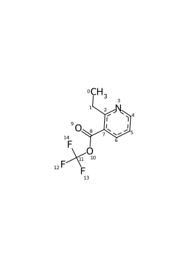 CCc1ncccc1C(=O)OC(F)(F)F